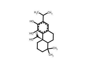 CC(C)c1cc2c(c(O)c1O)[C@@]1(C(=O)O)CCCC(C)(C)C1CC2